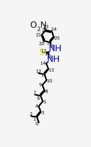 CC(C)=CCC/C(C)=C/CC/C(C)=C/CNC(=S)Nc1ccc([N+](=O)[O-])cc1